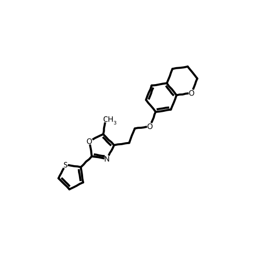 Cc1oc(-c2cccs2)nc1CCOc1ccc2c(c1)OCCC2